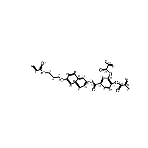 C=CC(=O)OCCCOc1ccc2cc(OC(=O)c3ccc(OC(=O)C(=C)C)c(OC(=O)C(=C)C)c3)ccc2c1